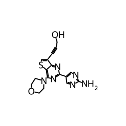 Nc1ncc(-c2nc(N3CCOCC3)c3scc(C#CCO)c3n2)cn1